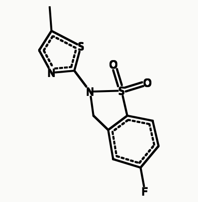 Cc1cnc(N2Cc3cc(F)ccc3S2(=O)=O)s1